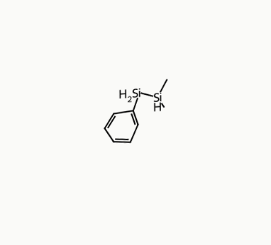 C[SiH](C)[SiH2]c1ccccc1